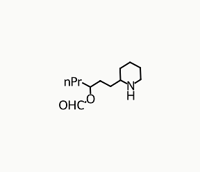 CCCC(CCC1CCCCN1)OC=O